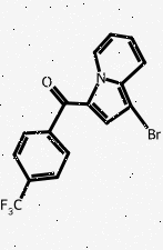 O=C(c1ccc(C(F)(F)F)cc1)c1cc(Br)c2ccccn12